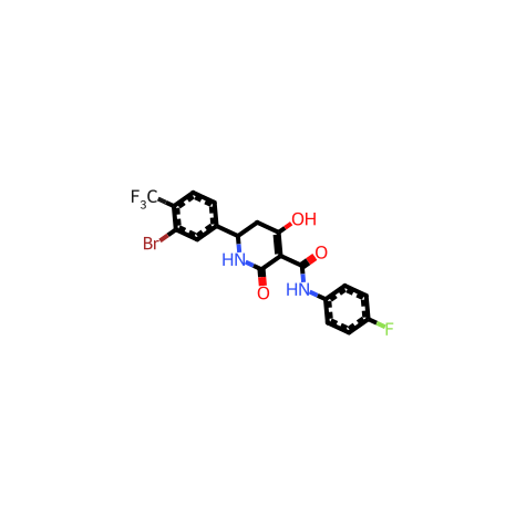 O=C(Nc1ccc(F)cc1)C1=C(O)CC(c2ccc(C(F)(F)F)c(Br)c2)NC1=O